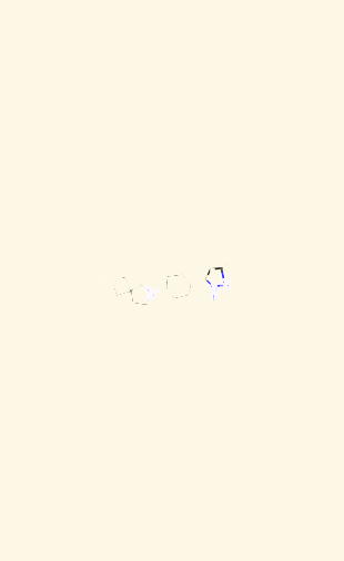 Cn1nc(C(F)(F)F)cc1[C@H]1CC[C@@H](N2CCC3(C2)C[S+]([O-])C3)CC1